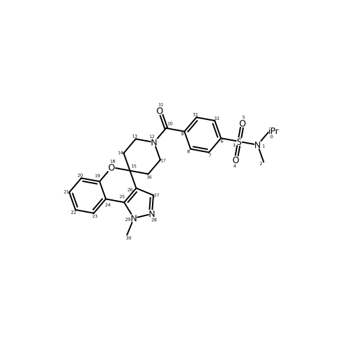 CC(C)N(C)S(=O)(=O)c1ccc(C(=O)N2CCC3(CC2)Oc2ccccc2-c2c3cnn2C)cc1